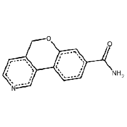 NC(=O)c1ccc2c(c1)OCc1ccncc1-2